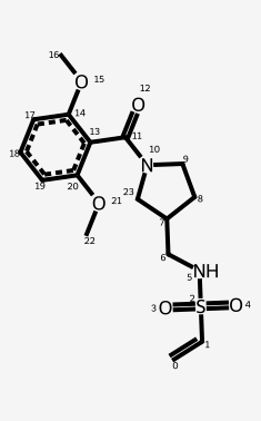 C=CS(=O)(=O)NCC1CCN(C(=O)c2c(OC)cccc2OC)C1